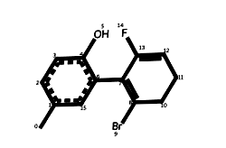 Cc1ccc(O)c(C2=C(Br)CCC=C2F)c1